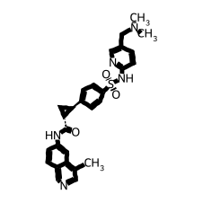 Cc1cncc2ccc(NC(=O)[C@@H]3C[C@H]3c3ccc(S(=O)(=O)Nc4ccc(CN(C)C)cn4)cc3)cc12